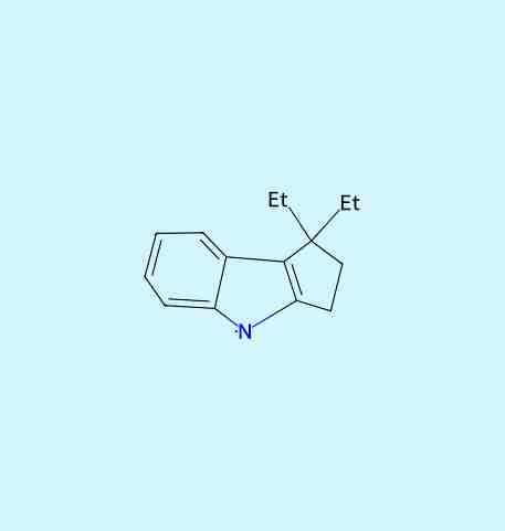 CCC1(CC)CCC2=C1c1ccccc1[N]2